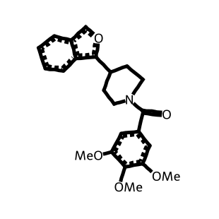 COc1cc(C(=O)N2CCC(c3occ4ccccc34)CC2)cc(OC)c1OC